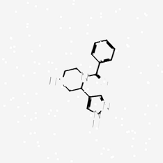 O=C(c1ccccc1)N1CCNCC1c1cn[nH]c1